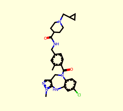 Cc1cc(CNC(=O)C2CCN(CC3CC3)CC2)ccc1C(=O)N1Cc2cnn(C)c2Nc2cc(Cl)ccc21